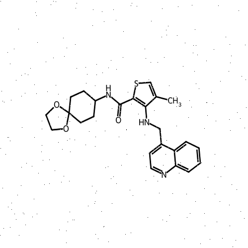 Cc1csc(C(=O)NC2CCC3(CC2)OCCO3)c1NCc1ccnc2ccccc12